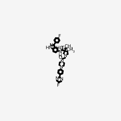 CC(C)(C)C1(C(=O)Nc2ccc3[nH]nc(-c4ccc(F)cc4)c3c2)CCN(CC(=O)N2CCN(c3ccc(-c4ncc(F)cn4)cc3)CC2)C1